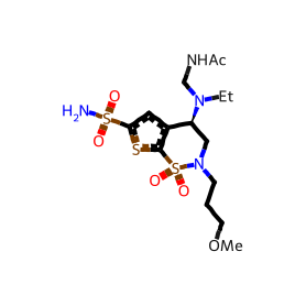 CCN(CNC(C)=O)[C@H]1CN(CCCOC)S(=O)(=O)c2sc(S(N)(=O)=O)cc21